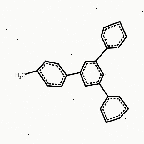 Cc1ccc(-c2cc(-c3ccccc3)[c]c(-c3ccccc3)c2)cc1